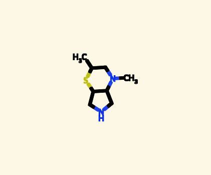 CC1CN(C)C2CNCC2S1